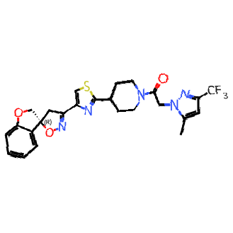 Cc1cc(C(F)(F)F)nn1CC(=O)N1CCC(c2nc(C3=NO[C@]4(COc5ccccc54)C3)cs2)CC1